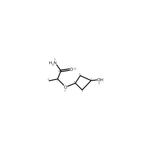 CC(OC1CC(O)C1)C(N)=O